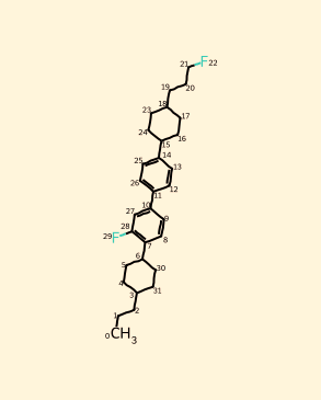 CCCC1CCC(c2ccc(-c3ccc(C4CCC(CCCF)CC4)cc3)cc2F)CC1